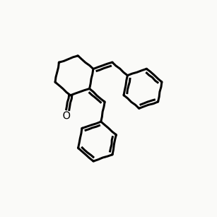 O=C1CCCC(=C/c2ccccc2)/C1=C/c1ccccc1